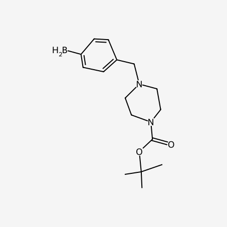 Bc1ccc(CN2CCN(C(=O)OC(C)(C)C)CC2)cc1